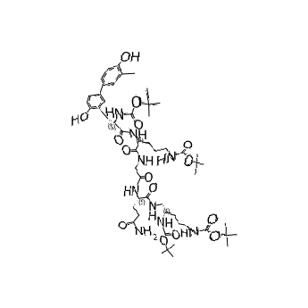 Cc1cc(-c2ccc(O)c(C[C@H](NC(=O)OC(C)(C)C)C(=O)N[C@@H](CCCNC(=O)OC(C)(C)C)C(=O)NCC(=O)N[C@@H](CCC(N)=O)C(=O)NC[C@H](CCCNC(=O)OC(C)(C)C)NC(=O)OC(C)(C)C)c2)ccc1O